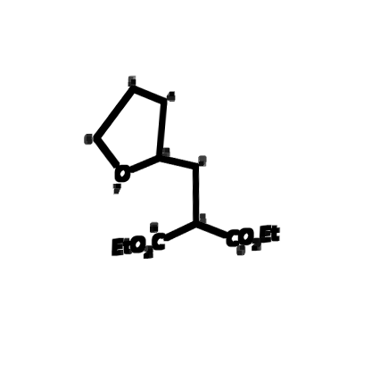 CCOC(=O)C(CC1CCCO1)C(=O)OCC